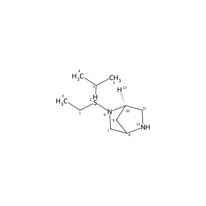 CC[SH](C(C)C)N1CC2C[C@@H]1CN2